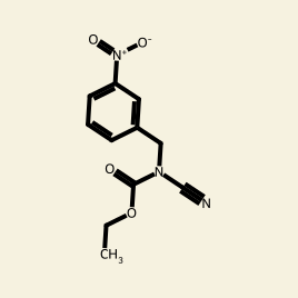 CCOC(=O)N(C#N)Cc1cccc([N+](=O)[O-])c1